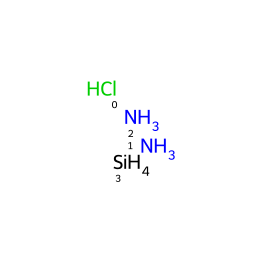 Cl.N.N.[SiH4]